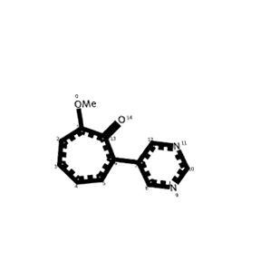 COc1ccccc(-c2cncnc2)c1=O